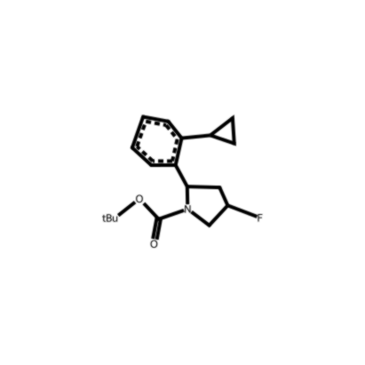 CC(C)(C)OC(=O)N1CC(F)CC1c1ccccc1C1CC1